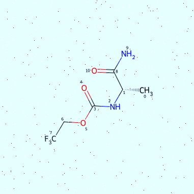 C[C@H](NC(=O)OCC(F)(F)F)C(N)=O